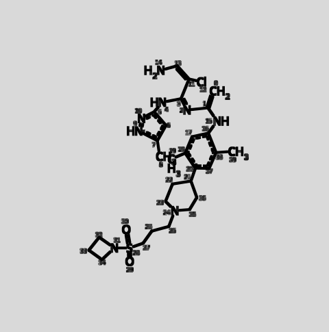 C=C(/N=C(Nc1cc(C)[nH]n1)\C(Cl)=C/N)Nc1cc(C)c(C2CCN(CCCS(=O)(=O)N3CCC3)CC2)cc1C